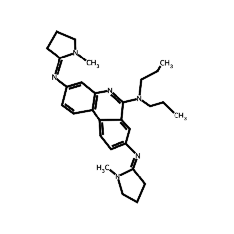 CCCN(CCC)c1nc2cc(N=C3CCCN3C)ccc2c2ccc(N=C3CCCN3C)cc12